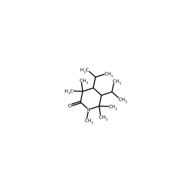 CC(C)C1C(C(C)C)C(C)(C)N(C)C(=O)C1(C)C